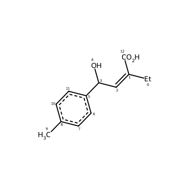 CC/C(=C/C(O)c1ccc(C)cc1)C(=O)O